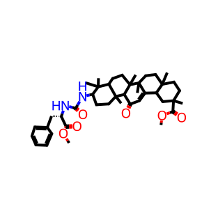 COC(=O)[C@H](Cc1ccccc1)NC(=O)NC1CCC2(C)C(CCC3(C)C2C(=O)C=C2C4CC(C)(C(=O)OC)CCC4(C)CCC23C)C1(C)C